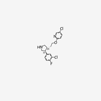 Fc1ccc([C@H]2CNC[C@@H]2CCOc2ccc(Cl)cn2)cc1Cl